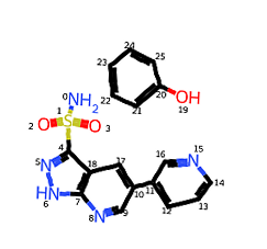 NS(=O)(=O)c1n[nH]c2ncc(-c3cccnc3)cc12.Oc1ccccc1